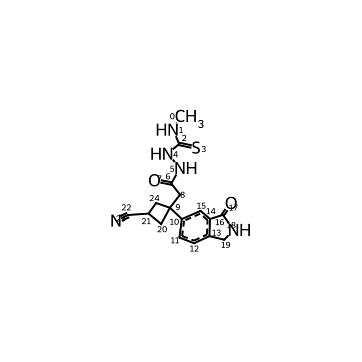 CNC(=S)NNC(=O)CC1(c2ccc3c(c2)C(=O)NC3)CC(C#N)C1